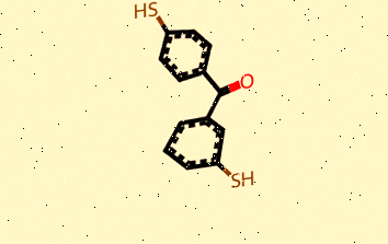 O=C(c1ccc(S)cc1)c1cccc(S)c1